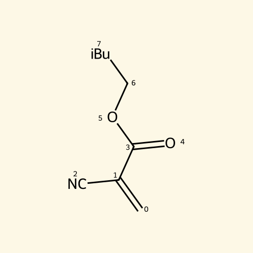 C=C(C#N)C(=O)OCC(C)CC